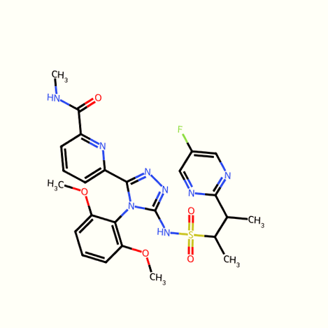 CNC(=O)c1cccc(-c2nnc(NS(=O)(=O)C(C)C(C)c3ncc(F)cn3)n2-c2c(OC)cccc2OC)n1